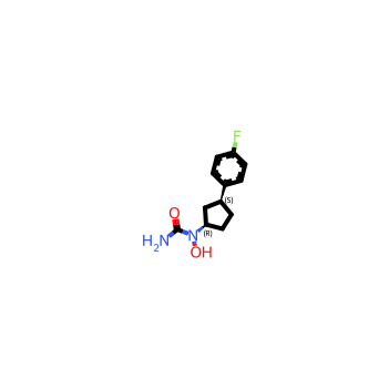 NC(=O)N(O)[C@@H]1CC[C@H](c2ccc(F)cc2)C1